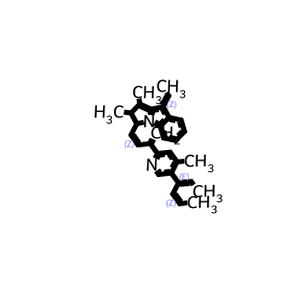 C=C(/C=C\C1C(C)C(C)=c2/c(=C\C)c3ccccc3n21)c1cc(C)c(C(/C=C\C)=C/C)cn1